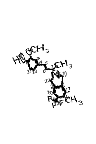 COc1cc(CC[C@@H](C)N2Cc3cc(C)c(C(F)(F)F)cc3C2)ccc1O